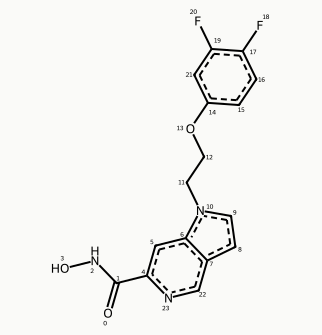 O=C(NO)c1cc2c(ccn2CCOc2ccc(F)c(F)c2)cn1